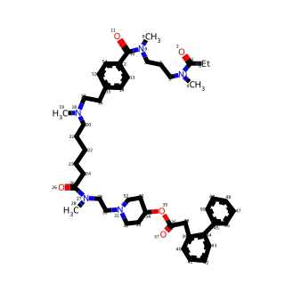 CCC(=O)N(C)CCCN(C)C(=O)c1ccc(CCN(C)CCCCCC(=O)N(C)CCN2CCC(OC(=O)Cc3ccccc3-c3ccccc3)CC2)cc1